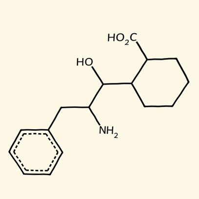 NC(Cc1ccccc1)C(O)C1CCCCC1C(=O)O